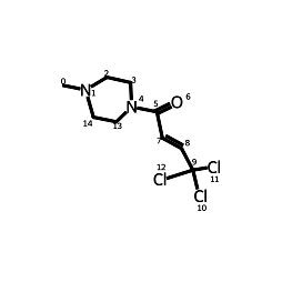 CN1CCN(C(=O)/C=C/C(Cl)(Cl)Cl)CC1